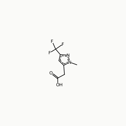 Cn1nc(C(F)(F)F)cc1CC(=O)O